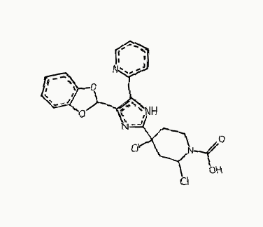 O=C(O)N1CCC(Cl)(c2nc(C3Oc4ccccc4O3)c(-c3ccccn3)[nH]2)CC1Cl